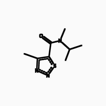 Cc1nnsc1C(=O)N(C)C(C)C